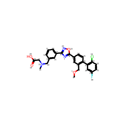 COCc1cc(-c2nc(-c3cccc(CN(C)CC(=O)O)c3)no2)ccc1-c1cc(F)ccc1Cl